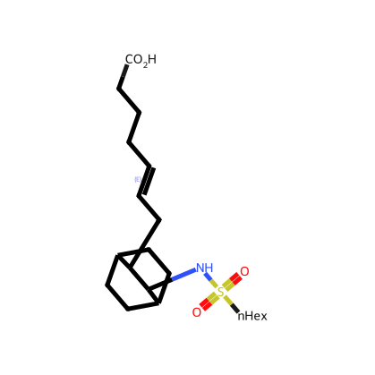 CCCCCCS(=O)(=O)NC1C2CCC(CC2)C1C/C=C/CCCC(=O)O